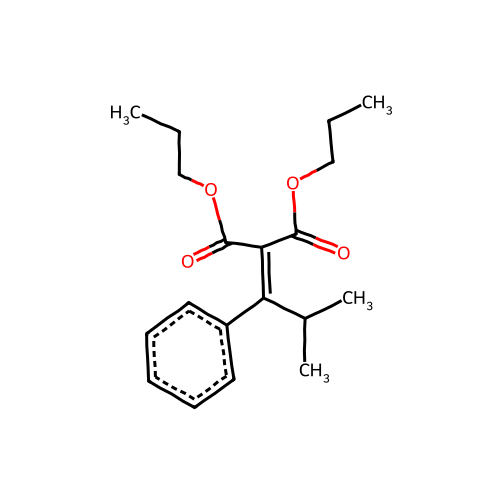 CCCOC(=O)C(C(=O)OCCC)=C(c1ccccc1)C(C)C